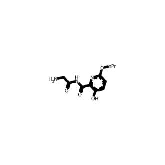 CCCOc1ccc(O)c(C(=O)NC(=O)CN)n1